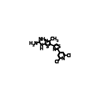 Cc1nc(NC(=N)N)sc1-c1csc(-c2cc(Cl)nc(Cl)c2)n1